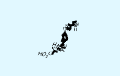 NC(CC(=O)O)Cn1nnc(-c2ccc(Oc3ccc(-c4ccn[nH]4)cn3)cc2)n1